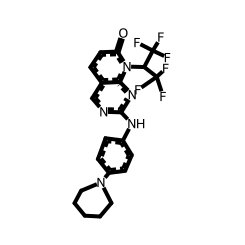 O=c1ccc2cnc(Nc3ccc(N4CCCCC4)cc3)nc2n1C(C(F)(F)F)C(F)(F)F